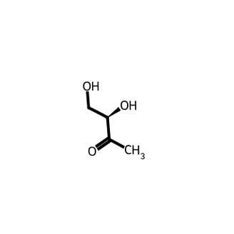 CC(=O)[C@H](O)CO